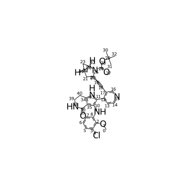 COc1c(Cl)cccc1Nc1c(-c2ccncc2C#C[C@H]2C[C@@H]3C[C@@H]3N2C(=O)OC(C)(C)C)[nH]c2c1C(=O)NCC2